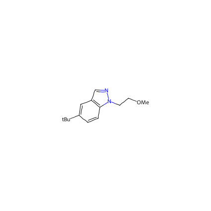 COCCn1ncc2cc(C(C)(C)C)ccc21